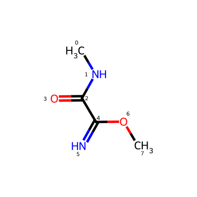 CNC(=O)C(=N)OC